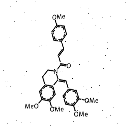 COc1ccc(C=CC(=O)N2CCc3cc(OC)c(OC)cc3C2=Cc2ccc(OC)c(OC)c2)cc1